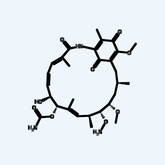 COC1=C2C[C@@H](C)C[C@H](OC)[C@H](ON)[C@@H](C)/C=C(\C)[C@H](OC(N)=O)[C@@H](O)/C=C\C=C(/C)C(=O)NC(=C(C)C1=O)C2=O